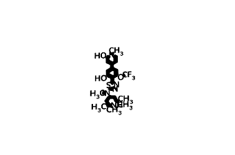 CN1C=CC(c2cc(O)c(-c3nnc(N(C)C4CC(C)(C)NC(C)(C)C4)s3)c(OC(F)(F)F)c2)=CC1O